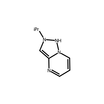 CC(C)N1C=C2N=CC=CN2N1